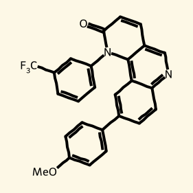 COc1ccc(-c2ccc3ncc4ccc(=O)n(-c5cccc(C(F)(F)F)c5)c4c3c2)cc1